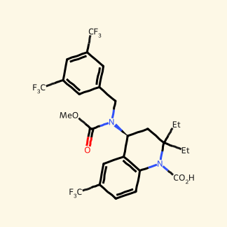 CCC1(CC)C[C@H](N(Cc2cc(C(F)(F)F)cc(C(F)(F)F)c2)C(=O)OC)c2cc(C(F)(F)F)ccc2N1C(=O)O